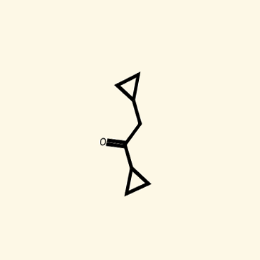 O=C(CC1CC1)C1CC1